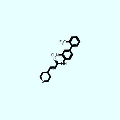 O=C(/C=C/C1CCSCC1)Nc1ccc(-c2ccccc2C(F)(F)F)cc1[N+](=O)[O-]